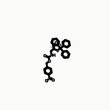 C/C=C(/CNC(=O)OCc1ccc([N+](=O)[O-])cc1)SC(c1ccccc1)(c1ccccc1)c1ccccc1